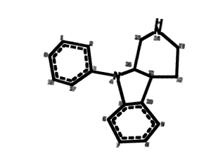 c1ccc(N2c3ccccc3C3CCNCC32)cc1